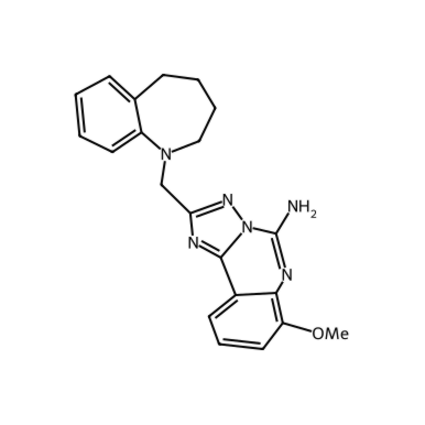 COc1cccc2c1nc(N)n1nc(CN3CCCCc4ccccc43)nc21